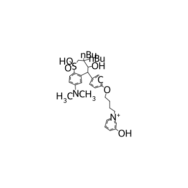 CCCCC1(CCCC)CS([O-])(O)c2ccc(N(C)C)cc2C(c2ccc(OCCCC[n+]3cccc(O)c3)cc2)C1O